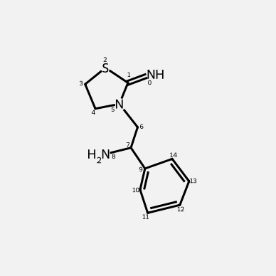 N=C1SCCN1CC(N)c1ccccc1